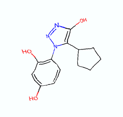 Oc1ccc(-n2nnc(O)c2C2CCCC2)c(O)c1